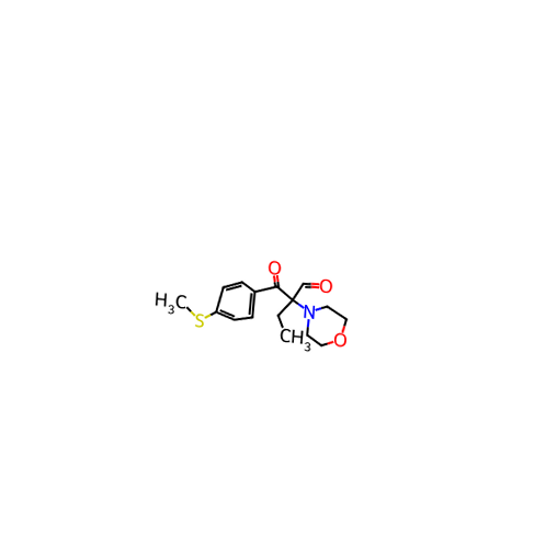 CCC(C=O)(C(=O)c1ccc(SC)cc1)N1CCOCC1